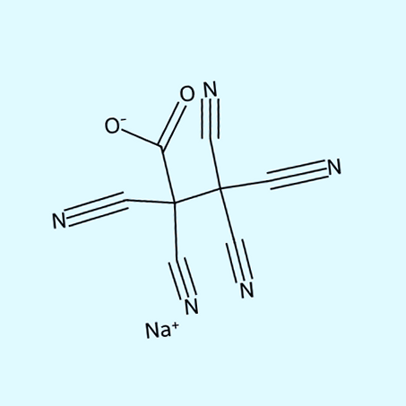 N#CC(C#N)(C#N)C(C#N)(C#N)C(=O)[O-].[Na+]